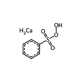 O=S(=O)(OO)c1ccccc1.[CaH2]